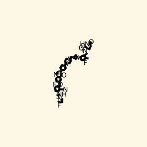 Cc1c(F)cc(N2CC(CN3CCN(c4ccc(-n5cnc6ccc(Oc7c(F)ccc(NSN8CCC(F)C8)c7C#N)cc6c5=O)cc4)CC3)C2)cc1CN(C=O)C1CCC(=O)NC1=O